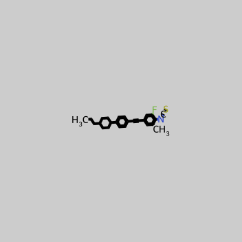 CCCC1CCC(c2ccc(C#Cc3cc(C)c(N=C=S)c(F)c3)cc2)CC1